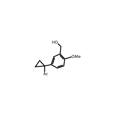 COc1ccc(C2(C(C)=O)CC2)cc1CO